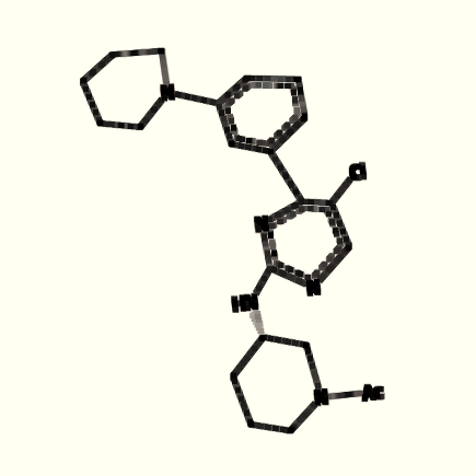 CC(=O)N1CCC[C@H](Nc2ncc(Cl)c(-c3cccc(N4CCCCC4)c3)n2)C1